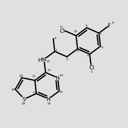 CC(Cc1c(Cl)cc(F)cc1Cl)Nc1ncnc2sccc12